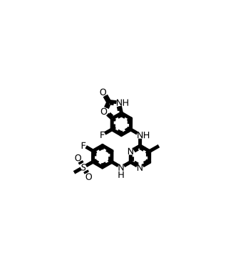 Cc1cnc(Nc2ccc(F)c(S(C)(=O)=O)c2)nc1Nc1cc(F)c2oc(=O)[nH]c2c1